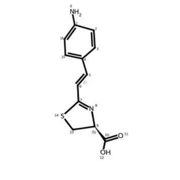 Nc1ccc(/C=C/C2=N[C@@H](C(=O)O)CS2)cc1